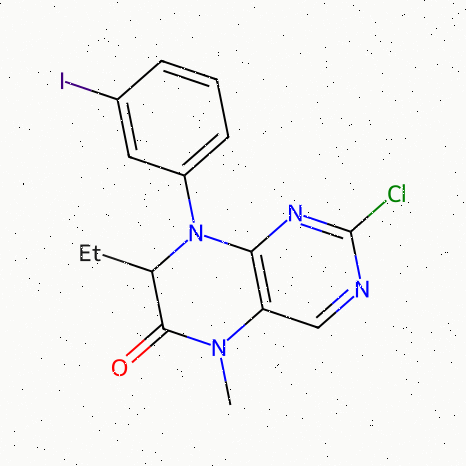 CCC1C(=O)N(C)c2cnc(Cl)nc2N1c1cccc(I)c1